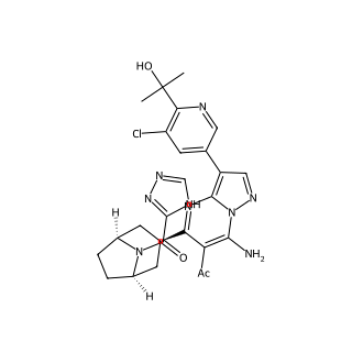 CC(=O)c1c([C@H]2C[C@H]3CC[C@@H](C2)N3C(=O)c2nnc[nH]2)nc2c(-c3cnc(C(C)(C)O)c(Cl)c3)cnn2c1N